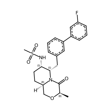 C[C@H]1OC[C@H]2CC[C@H](NS(C)(=O)=O)[C@H](Cc3cccc(-c4cccc(F)c4)c3)N2C1=O